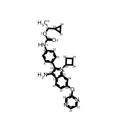 C[C@@H](OC(=O)Nc1ccc(-c2c(N)c3ccc(Oc4cnccn4)cc3n2C2CCC2)cc1)C1CC1